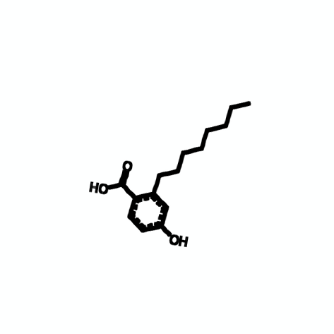 CCCCCCCCc1cc(O)ccc1C(=O)O